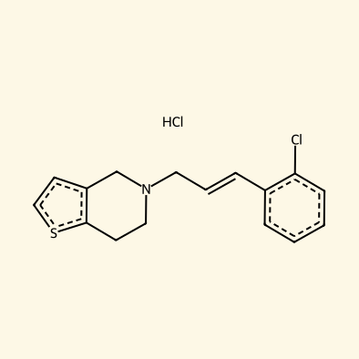 Cl.Clc1ccccc1C=CCN1CCc2sccc2C1